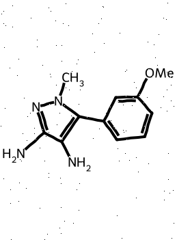 COc1cccc(-c2c(N)c(N)nn2C)c1